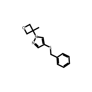 CC1(n2cc(SCc3ccccc3)cn2)COC1